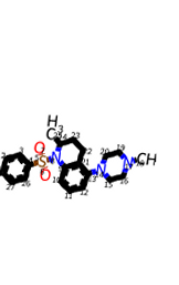 Cc1ccc(S(=O)(=O)N2c3cccc(N4CCN(C)CC4)c3CCC2C)cc1